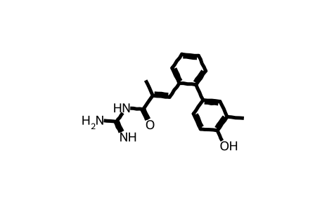 C/C(=C\c1ccccc1-c1ccc(O)c(C)c1)C(=O)NC(=N)N